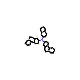 c1ccc2cc(N(c3ccc4c(ccc5ccccc54)c3)c3ccc4c(ccc5ccccc54)c3)ccc2c1